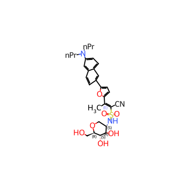 CCCN(CCC)c1ccc2cc(-c3ccc(/C(C)=C(\C#N)S(=O)(=O)N[C@H]4CO[C@H](CO)[C@@H](O)[C@@H]4O)o3)ccc2c1